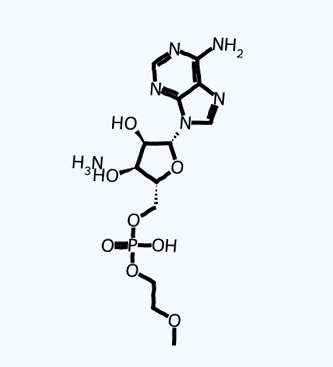 COCCOP(=O)(O)OC[C@H]1O[C@@H](n2cnc3c(N)ncnc32)[C@H](O)[C@@H]1O.N